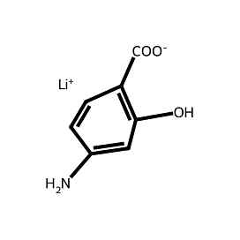 Nc1ccc(C(=O)[O-])c(O)c1.[Li+]